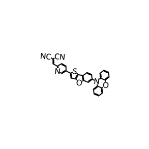 N#CC(C#N)=Cc1ccc(-c2cc3oc4cc(N5c6ccccc6Oc6ccccc65)ccc4c3s2)cn1